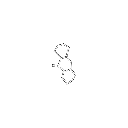 [C].c1ccc2cc3ccccc3cc2c1